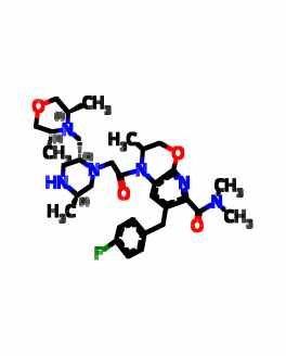 CC1COc2nc(C(=O)N(C)C)c(Cc3ccc(F)cc3)cc2N1C(=O)CN1C[C@@H](C)NC[C@@H]1CN1[C@H](C)COC[C@H]1C